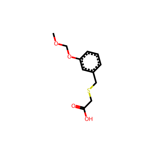 COCOc1cccc(CSCC(=O)O)c1